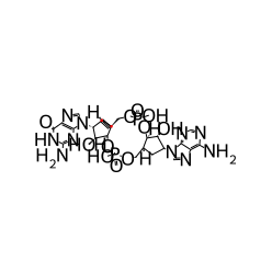 Nc1nc2c(ncn2[C@H]2[C@H](O)[C@@H]3OP(=O)(O)OC[C@H]4C[C@@H](n5cnc6c(N)ncnc65)[C@H](O)[C@@H]4OP(=O)(O)OC[C@]34C#C[C@H]24)c(=O)[nH]1